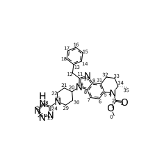 COC(=O)N1c2ccc3c(nc(Cc4ccccc4)n3C3CCN(c4nnn[nH]4)CC3)c2CC[C@@H]1C